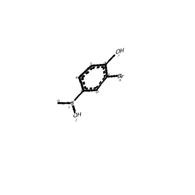 CB(O)c1ccc(O)c(Br)c1